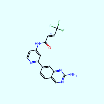 Nc1ncc2ccc(-c3cc(NC(=O)/C=C/C(F)(F)F)ccn3)cc2n1